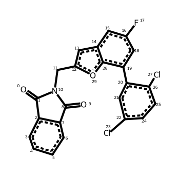 O=C1c2ccccc2C(=O)N1Cc1cc2cc(F)cc(-c3cc(Cl)ccc3Cl)c2o1